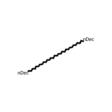 CCCCCCCCCCCCCCCCCCCCCC[CH]CCCCCCCCCCCCCCCCCCCCCCCCCCC